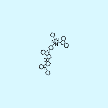 c1ccc(-c2nc(-c3ccc(-n4c5ccccc5c5c6oc7c(ccc8c7c7ccccc7n8-c7ccccc7)c6ccc54)cc3)nc(-c3cc4ccccc4c4ccccc34)n2)cc1